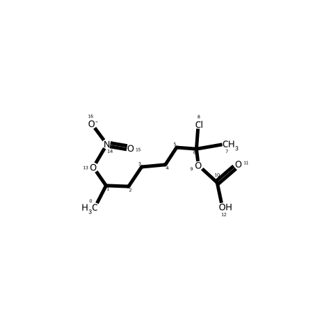 CC(CCCCC(C)(Cl)OC(=O)O)O[N+](=O)[O-]